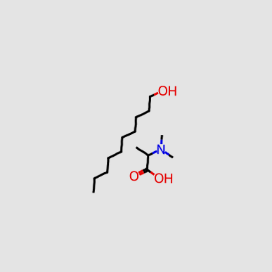 CC(C(=O)O)N(C)C.CCCCCCCCCCO